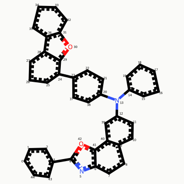 c1ccc(-c2nc3ccc4ccc(N(c5ccccc5)c5ccc(-c6cccc7c6oc6ccccc67)cc5)cc4c3o2)cc1